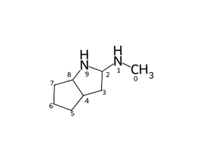 CNC1CC2CCCC2N1